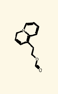 O=COCCC1=C2C=CC=CN2CC=C1